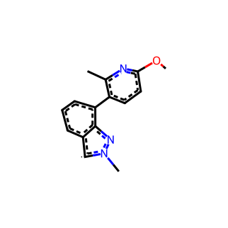 COc1ccc(-c2cccc3[c]n(C)nc23)c(C)n1